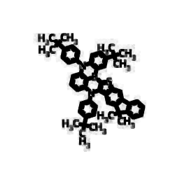 CC(C)(C)c1ccc(N2c3ccc(C(C)(C)C)cc3B3c4sc5cc6c(cc5c4N(c4ccc(C(C)(C)C)cc4)c4cccc2c43)C(C)(C)c2ccccc2-6)cc1